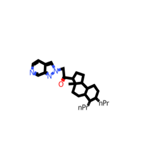 CCCC1CCC2C(CCC3(C)C(C(=O)Cn4cc5ccncc5n4)CCC23)C1CCC